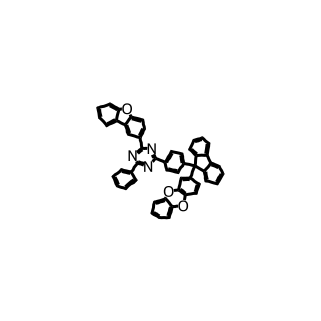 c1ccc(-c2nc(-c3ccc(C4(c5ccc6c(c5)Oc5ccccc5O6)c5ccccc5-c5ccccc54)cc3)nc(-c3ccc4oc5ccccc5c4c3)n2)cc1